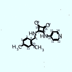 Cc1ccc(CNc2c(Nc3ccncc3)c(=O)c2=O)c(C)c1